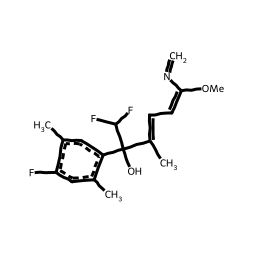 C=N/C(=C\C=C(/C)C(O)(c1cc(C)c(F)cc1C)C(F)F)OC